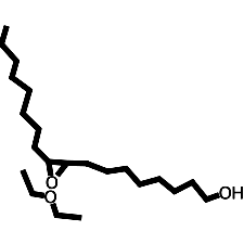 CCCCCCCCC1OC1CCCCCCCCO.CCOCC